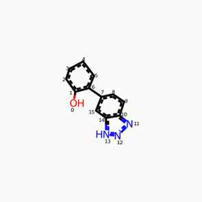 Oc1ccccc1-c1ccc2nn[nH]c2c1